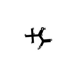 C=C(F)C(=O)C(C)(C)C